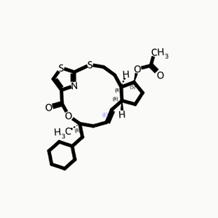 CC(=O)O[C@H]1CC[C@@H]2/C=C/C[C@@](C)(CC3CCCCC3)OC(=O)c3csc(n3)SCC[C@@H]12